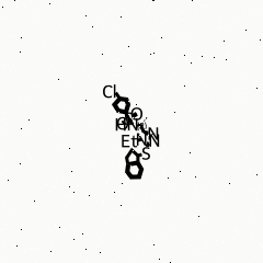 CCn1c(SC2CCc3ccccc32)nnc1[C@@H](C)NS(=O)(=O)c1ccc(Cl)cc1